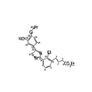 CCOC(=O)CCCc1cccc(-c2nsc(-c3ccc(OC(C)C)c(C#N)c3)n2)c1CC